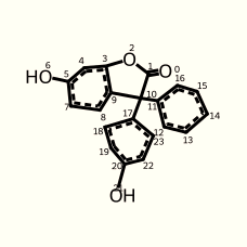 O=C1Oc2cc(O)ccc2C1(c1ccccc1)c1ccc(O)cc1